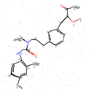 CCCCCCCN(CCc1cccc(CC(OCC)C(=O)OC)c1)C(=O)Nc1ccc(OC)cc1OC